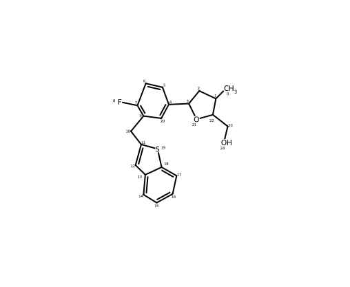 CC1CC(c2ccc(F)c(Cc3cc4ccccc4s3)c2)OC1CO